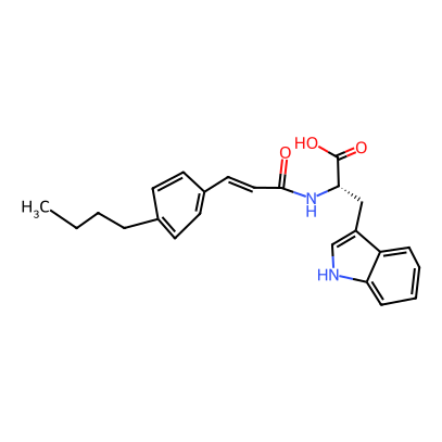 CCCCc1ccc(C=CC(=O)N[C@@H](Cc2c[nH]c3ccccc23)C(=O)O)cc1